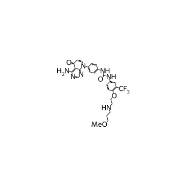 COCCCNCCOc1ccc(NC(=O)Nc2ccc(-n3ccc(=O)c4c(N)ncnc43)cc2)cc1C(F)(F)F